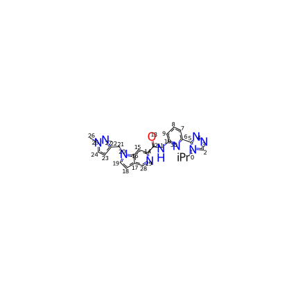 CC(C)n1cnnc1-c1cccc(NC(=O)c2cc3c(ccn3Cc3ccn(C)n3)cn2)n1